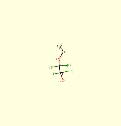 [O]C(F)(F)C(F)(F)OCC(F)(F)F